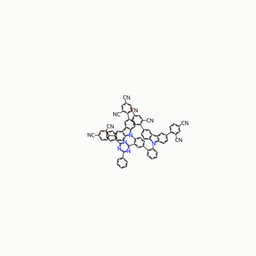 N#Cc1ccc(-c2ccc3c(c2)c2cc(-c4ccc(C#N)cc4C#N)ccc2n3-c2ccccc2-c2ccc(-n3c4ccc(-c5ccc(C#N)cc5C#N)cc4c4cc(-c5ccc(C#N)cc5C#N)ccc43)c(-c3nc(-c4ccccc4)nc(-c4ccccc4)n3)c2)c(C#N)c1